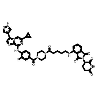 O=C1CCC(N2C(=O)c3cccc(NCCCCC(=O)N4CCN(C(=O)c5ccc(Nc6nc(C7CC7)cn7c(-c8cn[nH]c8)cnc67)c(F)c5)CC4)c3C2=O)C(=O)N1